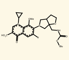 COc1c(N2CC3CCOC3(CNC(=O)OC(C)(C)C)C2)c(F)cc2c(=O)c(C(=O)O)cn(C3CC3)c12